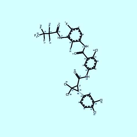 O=C(Nc1ccc(F)c(NC(=O)C(F)(F)C(F)(F)C(F)(F)F)c1F)c1cc(NC(=O)C2[C@H](c3ccc(Cl)c(Cl)c3)C2(Cl)Cl)ccc1Cl